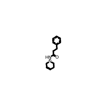 O=C(CCc1ccccc1)NN1CC=CCC1